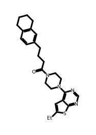 CCc1cc2c(N3CCN(C(=O)CCCc4ccc5c(c4)CCCC5)CC3)ncnc2s1